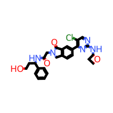 O=C(CN1Cc2ccc(-c3nc(NC4CCO4)ncc3Cl)cc2C1=O)NC(CCO)c1ccccc1